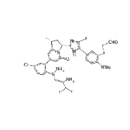 CNc1ccc(-c2[nH]c(C3C[C@@H](C)c4cc(-c5cc(Cl)ccc5N(N)/C=C(\N)C(F)F)cc(=O)n43)nc2F)cc1CCC=O